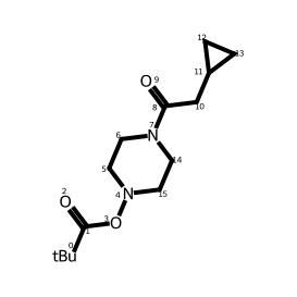 CC(C)(C)C(=O)ON1CCN(C(=O)CC2CC2)CC1